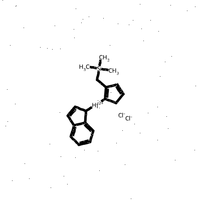 C[Si](C)(C)CC1=[C]([Hf+2][CH]2C=Cc3ccccc32)CC=C1.[Cl-].[Cl-]